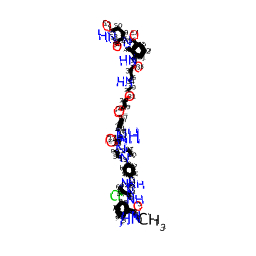 CNC(=O)c1ccccc1Nc1nc(Nc2ccc(N3CCN(C(=O)NCCOCCOCCNCCC(=O)Nc4cccc5c4CN(C4CCC(=O)NC4=O)C5=O)CC3)cc2)ncc1Cl